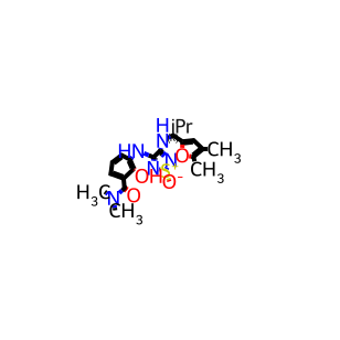 Cc1cc([C@H](Nc2n[s+]([O-])nc2Nc2cccc(C(=O)N(C)C)c2O)C(C)C)oc1C